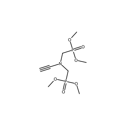 C#CN(CP(=O)(OC)OC)CP(=O)(OC)OC